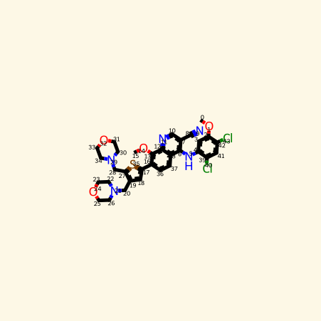 COc1cc(Nc2c(C#N)cnc3c(OC)c(-c4cc(CN5CCOCC5)c(CN5CCOCC5)s4)ccc23)c(Cl)cc1Cl